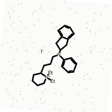 CC[N+]1(CC)CCCCC1CCCN(c1ccccc1)C1Cc2ccccc2C1.[I-]